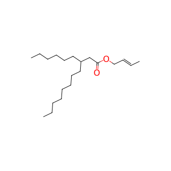 C/C=C/COC(=O)CC(CCCCCC)CCCCCCCC